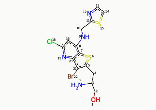 NC(CO)Cc1sc2c(NCc3nccs3)cc(Cl)nc2c1Br